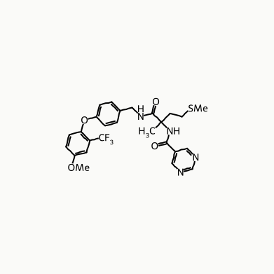 COc1ccc(Oc2ccc(CNC(=O)C(C)(CCSC)NC(=O)c3cncnc3)cc2)c(C(F)(F)F)c1